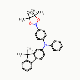 CC1(C)c2ccccc2-c2ccc(N(c3ccccc3)c3ccc(N4OC(C)(C)C(C)(C)O4)cc3)cc21